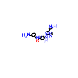 NCc1cccc(CNC(=O)c2ccc(Nc3ncc(-c4cn[nH]c4)n4ccnc34)cc2)c1